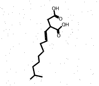 CC(C)CCCCCC=CC(CC(=O)O)C(=O)O